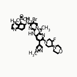 COc1nc(N2CCC(N3CCOCC3)C(F)C2)c(-c2cnn(C)c2)cc1Nc1ncc(Br)c(Nc2ccc3nccnc3c2P(C)(C)=O)n1